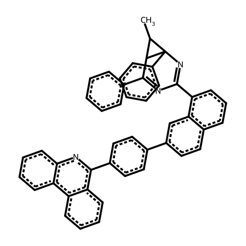 CC1C2C(c3ccccc3)=NC(c3cccc4ccc(-c5ccc(-c6nc7ccccc7c7ccccc67)cc5)cc34)=NC12c1ccccc1